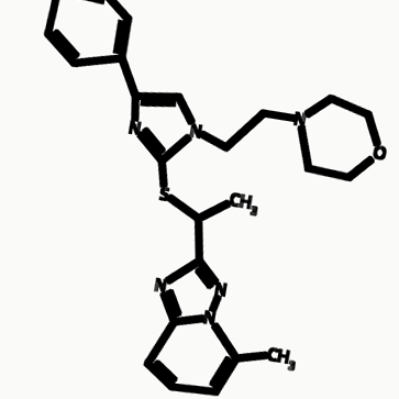 Cc1cccc2nc(C(C)Sc3nc(-c4ccccc4)cn3CCN3CCOCC3)nn12